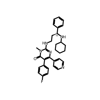 Cn1c(NCC[C@H](NC2CCCCC2)c2ccccc2)nc(-c2ccncc2)c(-c2ccc(F)cc2)c1=O